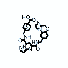 O=C(NCc1ccc2c(c1)-n1ccnc1CO2)c1cc(C(=O)NCC23CCC(C(=O)O)(CC2)CC3)n2nccc2n1